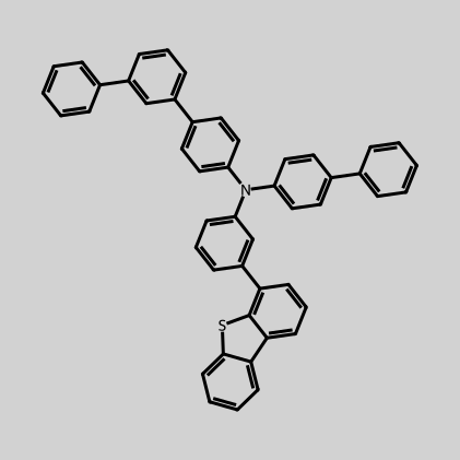 c1ccc(-c2ccc(N(c3ccc(-c4cccc(-c5ccccc5)c4)cc3)c3cccc(-c4cccc5c4sc4ccccc45)c3)cc2)cc1